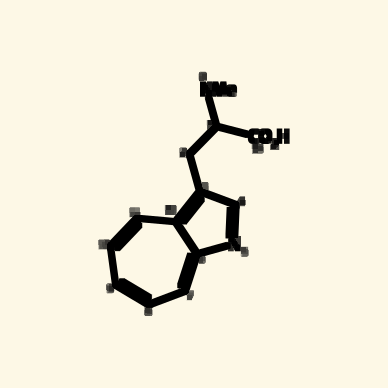 CNC(Cc1cnc2cccccc1-2)C(=O)O